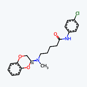 CN(CCCCC(=O)Nc1ccc(Cl)cc1)[C@@H]1COc2ccccc2O1